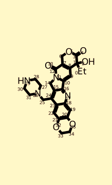 CCC1(O)C(=O)OCc2c1cc1n(c2=O)Cc2c-1nc1cc3c(cc1c2CN1CCNCC1)OCCO3